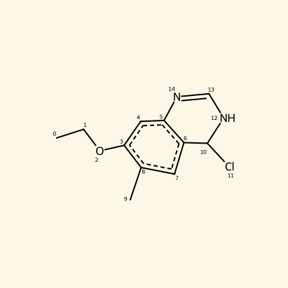 CCOc1cc2c(cc1C)C(Cl)NC=N2